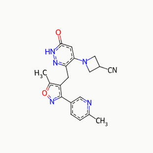 Cc1ccc(-c2noc(C)c2Cc2n[nH]c(=O)cc2N2CC(C#N)C2)cn1